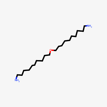 NCCCCCCCCCCOCCCCCCCCCCN